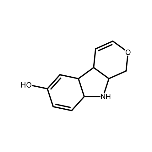 OC1=CC2C(C=C1)NC1COC=CC12